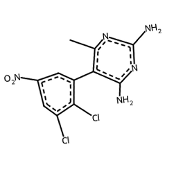 Cc1nc(N)nc(N)c1-c1cc([N+](=O)[O-])cc(Cl)c1Cl